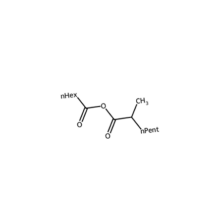 CCCCCCC(=O)OC(=O)C(C)CCCCC